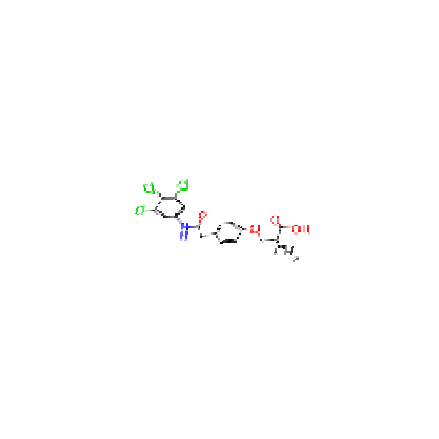 CC(COc1ccc(CC(=O)Nc2cc(Cl)c(Cl)c(Cl)c2)cc1)C(=O)O